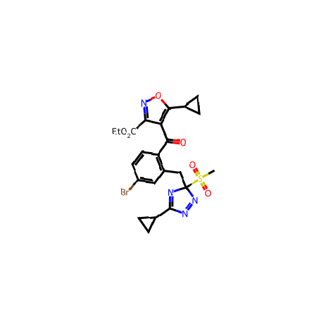 CCOC(=O)c1noc(C2CC2)c1C(=O)c1ccc(Br)cc1CC1(S(C)(=O)=O)N=NC(C2CC2)=N1